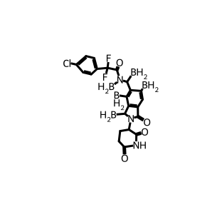 Bc1cc2c(c(B)c1C(B)N(B)C(=O)C(F)(F)c1ccc(Cl)cc1)C(B)N(C1CCC(=O)NC1=O)C2=O